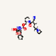 CC(CC(C)(C)N1CCCC1)C(C#N)C(=O)N1CCCC[C@@H]1COC(=O)N[C@@H](Cc1ccccc1)B(O)O